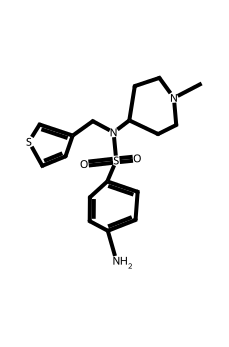 CN1CCC(N(Cc2ccsc2)S(=O)(=O)c2ccc(N)cc2)CC1